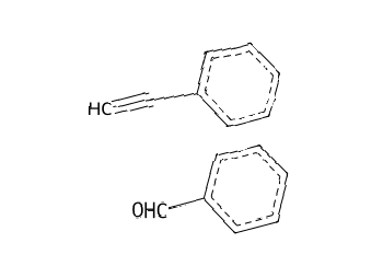 C#Cc1ccccc1.O=Cc1ccccc1